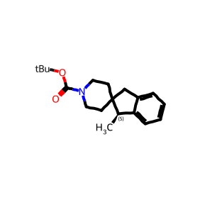 C[C@@H]1c2ccccc2CC12CCN(C(=O)OC(C)(C)C)CC2